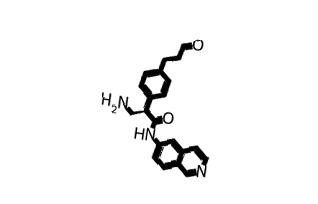 NC[C@H](C(=O)Nc1ccc2cnccc2c1)c1ccc(CCC=O)cc1